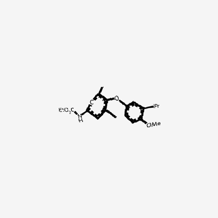 CCOC(=O)Nc1cc(C)c(Oc2ccc(OC)c(C(C)C)c2)c(C)c1